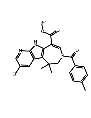 Cc1ccc(C(=O)N2C=C(C(=O)OC(C)C)c3[nH]c4ncc(Cl)cc4c3C(C)(C)C2)cc1